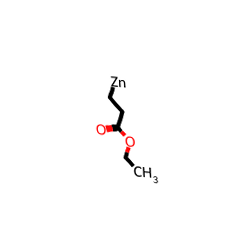 CCOC(=O)C[CH2][Zn]